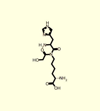 NC(Cc1c[nH]cn1)C(=O)N(CCCC[C@H](N)C(=O)O)C(=O)CO